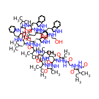 CC(C)C[C@@H](NC(=O)[C@H](C)NC(=O)CNC(=O)[C@@H](NC=O)C(C)C)C(=O)N[C@@H](C)C(=O)N[C@@H](C(=O)N[C@H](C(=O)N[C@@H](C(=O)N[C@@H](Cc1c[nH]c2ccccc12)C(=O)N[C@H](CC(C)C)C(=O)N[C@@H](Cc1ccccc1)C(=O)N[C@H](CC(C)C)C(=O)N[C@@H](Cc1c[nH]c2ccccc12)C(=O)N[C@H](CC(C)C)C(=O)N[C@@H](Cc1c[nH]c2ccccc12)C(=O)NCCO)C(C)C)C(C)C)C(C)C